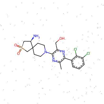 Cc1nc(N2CCC3(CC2)CS(=O)(=O)C[C@H]3N)c(CO)nc1-c1cccc(Cl)c1Cl